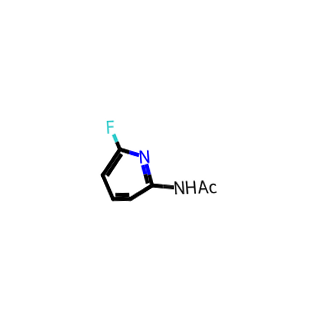 [CH2]C(=O)Nc1cccc(F)n1